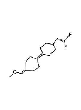 COC=C1CCC(=C2CCC(C=C(F)F)CC2)CC1